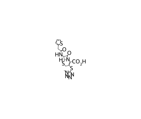 Cn1nnnc1SC1=C(C(=O)O)N2C(=O)C(NC(=O)Cc3cccs3)[C@@H]2SC1